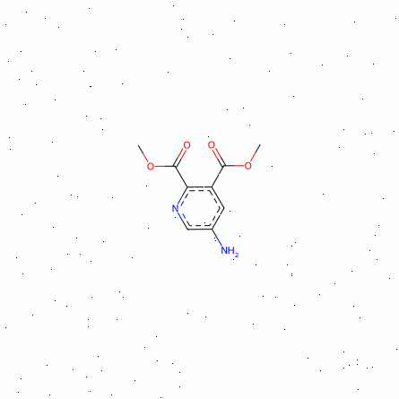 COC(=O)c1cc(N)cnc1C(=O)OC